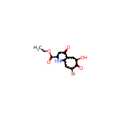 CCOC(=O)c1cc(=O)c2cc(O)c(=O)c(Br)cc2[nH]1